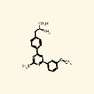 Nc1nc(-c2ccc(C[C@H](N)C(=O)O)cc2)cc(-c2cccc(OC(F)(F)F)c2)n1